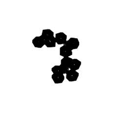 c1ccc(-c2ccccc2-n2c3ccc(-c4ccc5c(c4)c4ccccc4n5-c4cccc(-c5ccc6c7c(cccc57)-c5ccccc5-6)c4)cc3c3ccc4ccccc4c32)cc1